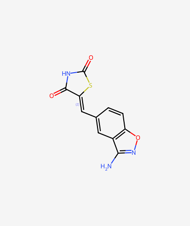 Nc1noc2ccc(/C=C3\SC(=O)NC3=O)cc12